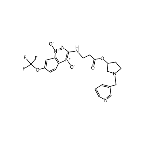 O=C(CCNc1n[n+]([O-])c2cc(OC(F)(F)F)ccc2[n+]1[O-])OC1CCN(Cc2cccnc2)C1